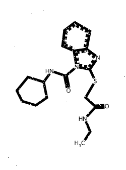 CCNC(=O)CSc1nc2ccccc2n1C(=O)NC1CCCCC1